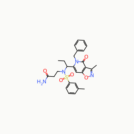 CCC(c1cc2onc(C)c2c(=O)n1Cc1ccccc1)N(CCC(N)=O)S(=O)(=O)c1cccc(C)c1